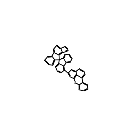 c1ccc2c(c1)Sc1cc(-c3cccc4c3-c3ccccc3C43c4ccccc4-c4ccc5ccccc5c43)cc3cccc-2c13